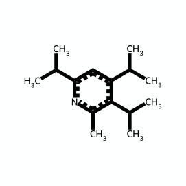 Cc1nc(C(C)C)cc(C(C)C)c1C(C)C